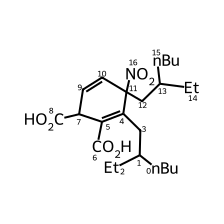 CCCCC(CC)CC1=C(C(=O)O)C(C(=O)O)C=CC1(CC(CC)CCCC)[N+](=O)[O-]